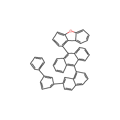 c1ccc(-c2cccc(-c3ccc4cccc(-c5c6ccccc6c(-c6cccc7oc8ccccc8c67)c6ccccc56)c4c3)c2)cc1